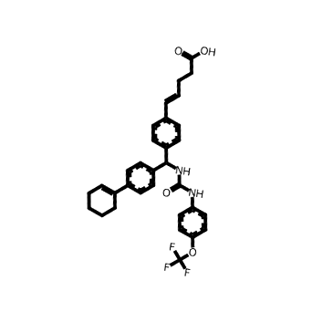 O=C(O)CCC=Cc1ccc(C(NC(=O)Nc2ccc(OC(F)(F)F)cc2)c2ccc(C3=CCCCC3)cc2)cc1